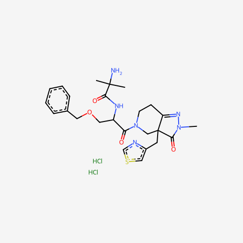 CN1N=C2CCN(C(=O)C(COCc3ccccc3)NC(=O)C(C)(C)N)CC2(Cc2cscn2)C1=O.Cl.Cl